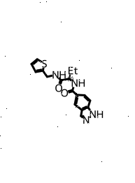 CC[C@@H](NC(=O)c1ccc2[nH]ncc2c1)C(=O)NCc1cccs1